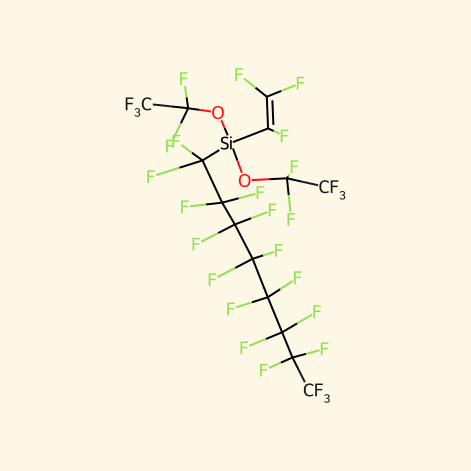 FC(F)=C(F)[Si](OC(F)(F)C(F)(F)F)(OC(F)(F)C(F)(F)F)C(F)(F)C(F)(F)C(F)(F)C(F)(F)C(F)(F)C(F)(F)C(F)(F)C(F)(F)F